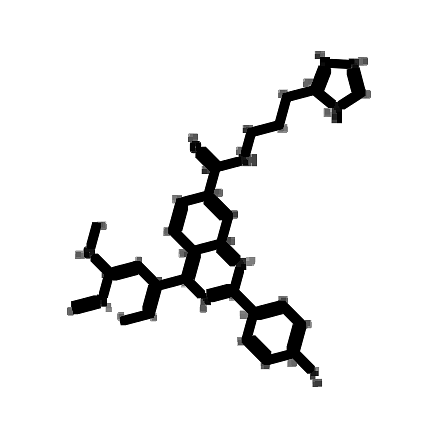 C=N/C(=C\C(=C/C)c1nc(-c2ccc(F)cc2)nc2cc(C(=O)NCCCc3nnc[nH]3)ccc12)OC